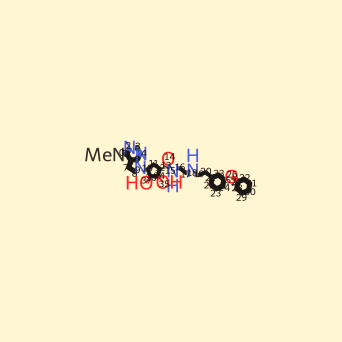 CNc1ncnc2c1ccn2[C@@H]1C[C@H](C(=O)NCCNCCc2cccc(Oc3ccccc3)c2)[C@@H](O)[C@H]1O